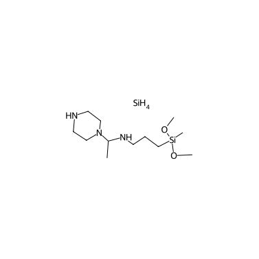 CO[Si](C)(CCCNC(C)N1CCNCC1)OC.[SiH4]